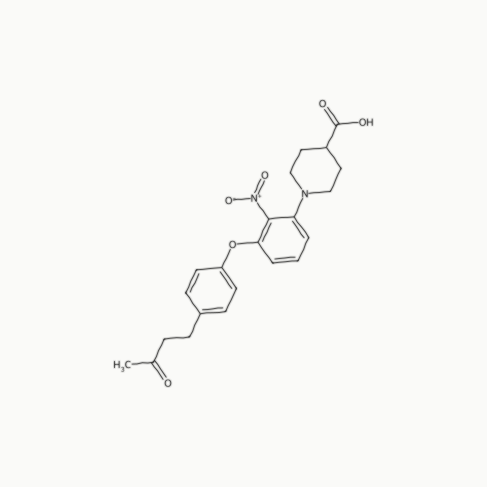 CC(=O)CCc1ccc(Oc2cccc(N3CCC(C(=O)O)CC3)c2[N+](=O)[O-])cc1